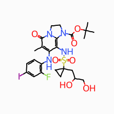 Cc1c(Nc2ccc(I)cc2F)c(NS(=O)(=O)C2(CC(O)CO)CC2)c2n(c1=O)CCN2C(=O)OC(C)(C)C